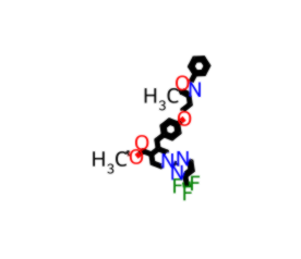 CCOC(=O)C1CCN(c2nccc(C(F)(F)F)n2)CC1Cc1ccc(OCCc2nc(-c3ccccc3)oc2C)cc1